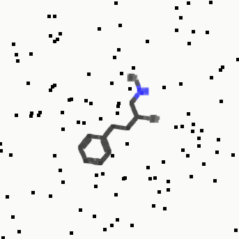 CC(C)NCC(CCc1ccccc1)C(C)C